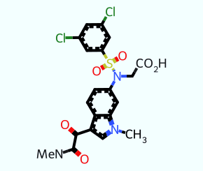 CNC(=O)C(=O)c1cn(C)c2cc(N(CC(=O)O)S(=O)(=O)c3cc(Cl)cc(Cl)c3)ccc12